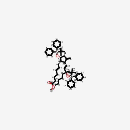 C=C1C[C@@H](O[Si](c2ccccc2)(c2ccccc2)C(C)(C)C)[C@H](CC=CCCCC(=O)OC)[C@@H]1C=CC(C)(CCCCC)O[Si](c1ccccc1)(c1ccccc1)C(C)(C)C